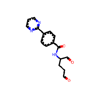 O=CCCC(C=O)NC(=O)c1ccc(-c2ncccn2)cc1